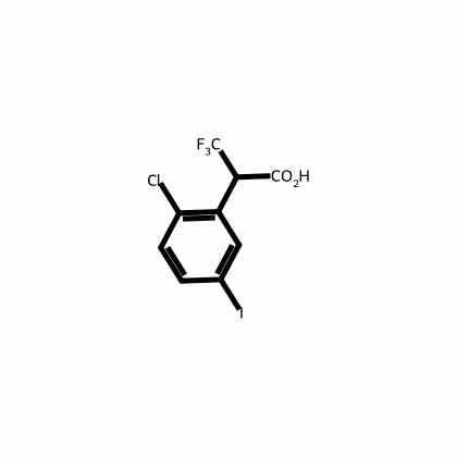 O=C(O)C(c1cc(I)ccc1Cl)C(F)(F)F